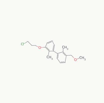 COCc1cccc(-c2cccc(OCCCCl)c2C)c1C